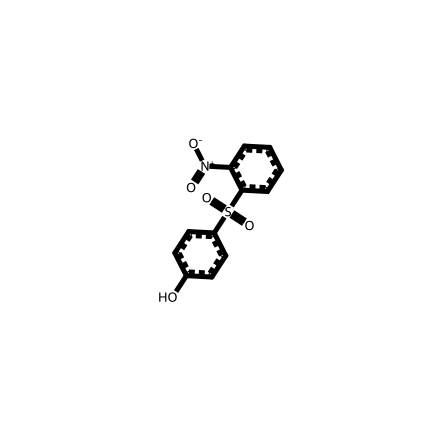 O=[N+]([O-])c1ccccc1S(=O)(=O)c1ccc(O)cc1